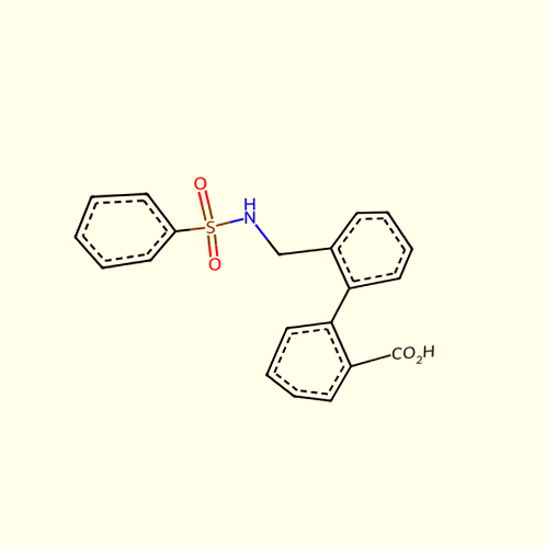 O=C(O)c1ccccc1-c1ccccc1CNS(=O)(=O)c1ccccc1